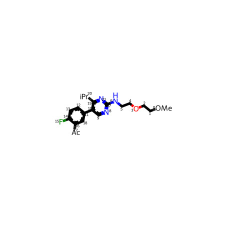 COCCOCCNc1ncc(-c2ccc(F)c(C(C)=O)c2)c(C(C)C)n1